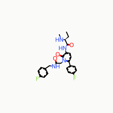 CC[C@H](NC)C(=O)Nc1ccc(-c2ccc(F)cc2)n(CC(=O)NCc2ccc(F)cc2)c1=O